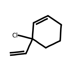 C=CC1(Cl)C=CCCC1